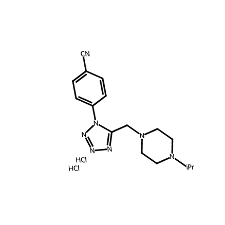 CC(C)N1CCN(Cc2nnnn2-c2ccc(C#N)cc2)CC1.Cl.Cl